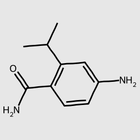 CC(C)c1cc(N)ccc1C(N)=O